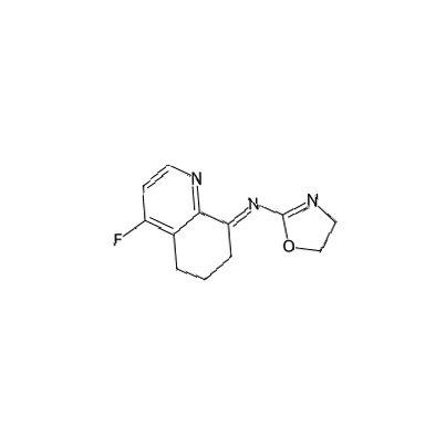 Fc1ccnc2c1CCC/C2=N\C1=NCCO1